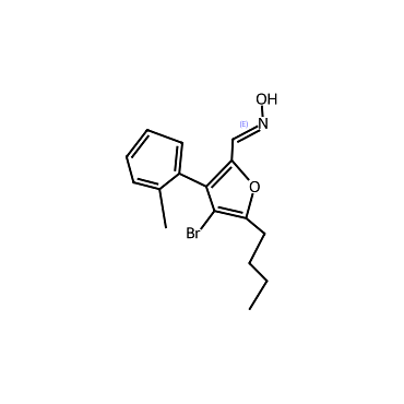 CCCCc1oc(/C=N/O)c(-c2ccccc2C)c1Br